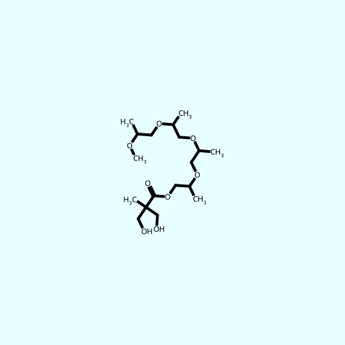 COC(C)COC(C)COC(C)COC(C)COC(=O)C(C)(CO)CO